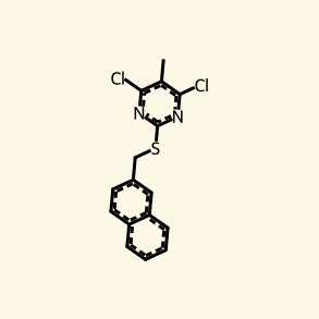 Cc1c(Cl)nc(SCc2ccc3ccccc3c2)nc1Cl